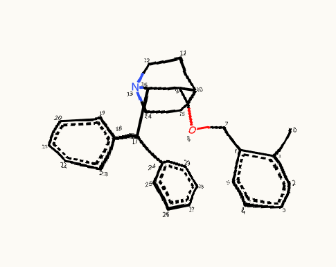 Cc1ccccc1COC1C2CCN(CC2)C1C(c1ccccc1)c1ccccc1